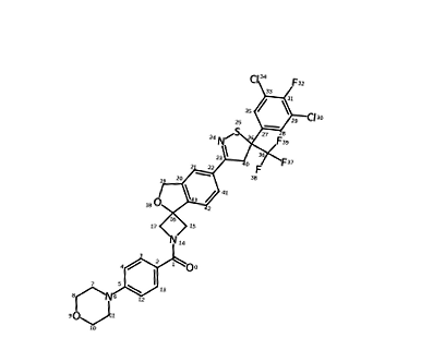 O=C(c1ccc(N2CCOCC2)cc1)N1CC2(C1)OCc1cc(C3=NSC(c4cc(Cl)c(F)c(Cl)c4)(C(F)(F)F)C3)ccc12